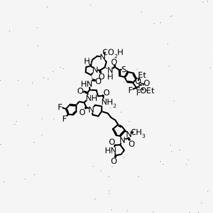 CCOP(=O)(OCC)C(F)(F)c1ccc2sc(C(=O)N[C@H]3CN(C(=O)O)CC[C@H]4CC[C@@H](C(=O)NC(CCC(N)=O)C(=O)NC(Cc5ccc(F)c(F)c5)C(=O)N5CCC(CCCc6ccc7c(c6)n(C)c(=O)n7C6CCC(=O)NC6=O)CC5)N4C3=O)cc2c1